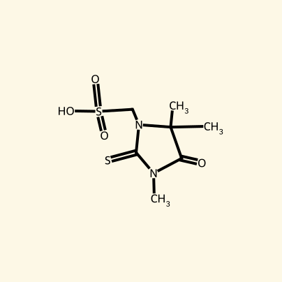 CN1C(=O)C(C)(C)N(CS(=O)(=O)O)C1=S